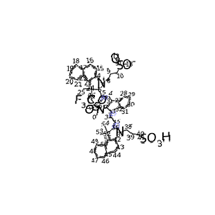 CN(C1=C(/C=C/C2=[N+](CCCS(=O)[O-])c3ccc4ccccc4c3C2(C)C)c2ccccc2/C1=C\C=C1\N(CCCS(=O)(=O)O)c2ccc3ccccc3c2C1(C)C)S(=O)(=O)C(F)(F)F